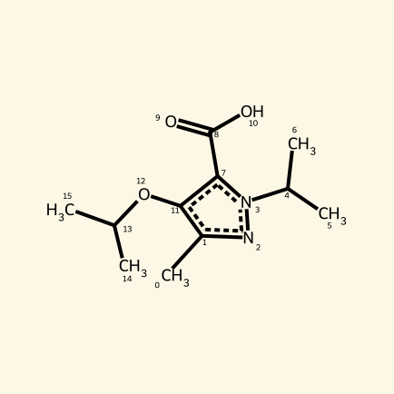 Cc1nn(C(C)C)c(C(=O)O)c1OC(C)C